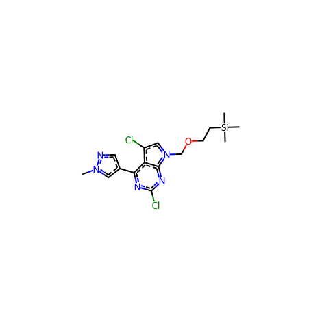 Cn1cc(-c2nc(Cl)nc3c2c(Cl)cn3COCC[Si](C)(C)C)cn1